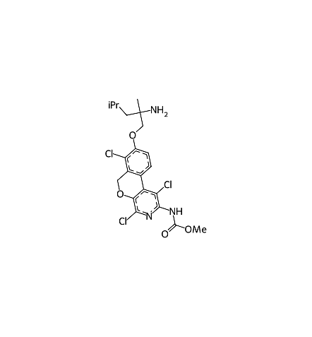 COC(=O)Nc1nc(Cl)c2c(c1Cl)-c1ccc(OCC(C)(N)CC(C)C)c(Cl)c1CO2